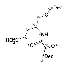 CCCCCCCCCCOC[C@@H](CCC(=O)O)NC(=O)C(=O)CCCCCCCCCC